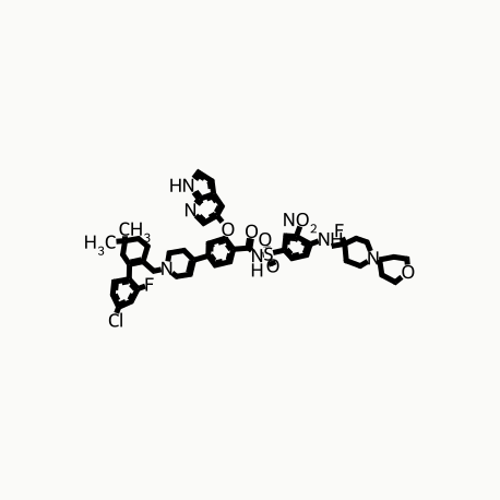 CC1(C)CCC(CN2CC=C(c3ccc(C(=O)NS(=O)(=O)c4ccc(NCC5(F)CCN(C6CCOCC6)CC5)c([N+](=O)[O-])c4)c(Oc4cnc5[nH]ccc5c4)c3)CC2)=C(c2ccc(Cl)cc2F)C1